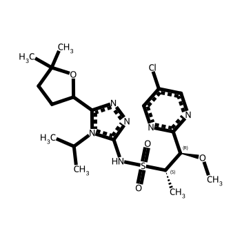 CO[C@H](c1ncc(Cl)cn1)[C@H](C)S(=O)(=O)Nc1nnc(C2CCC(C)(C)O2)n1C(C)C